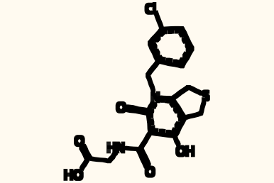 O=C(O)CNC(=O)c1c(O)c2c(n(Cc3cccc(Cl)c3)c1=O)CSC2